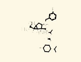 CC(OC(=O)O[C@@H]1C[C@H](C)CC[C@H]1C(C)C)OC(=O)[C@@]1(N)[C@H]2[C@@H](C[C@H]1OCc1cccc(F)c1)[C@]2(F)C(=O)O